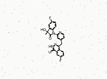 CC1(O)C(=O)N(c2cc(Cc3n[nH]c(=O)c4cc(F)ccc34)ccn2)c2ccc(F)cc21